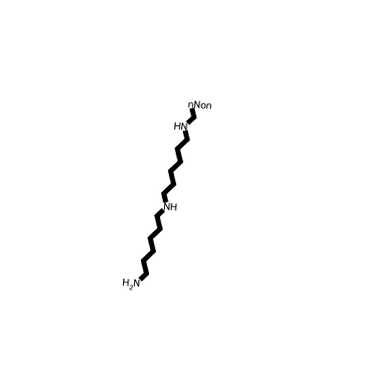 CCCCCCCCCCNCCCCCCNCCCCCCN